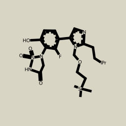 CC(C)CCc1ncc(-c2ccc(O)c(N3CC(=O)NS3(=O)=O)c2F)n1COCC[Si](C)(C)C